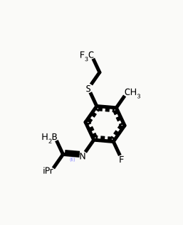 B/C(=N\c1cc(SCC(F)(F)F)c(C)cc1F)C(C)C